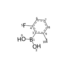 OB(O)c1c(F)cccc1I